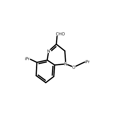 CC(C)ON1CC(C=O)=Nc2c(C(C)C)cccc21